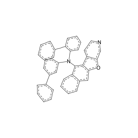 c1ccc(-c2cccc(N(c3ccccc3-c3ccccc3)c3c4ccccc4cc4oc5cnccc5c34)c2)cc1